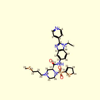 CCn1c(-c2ccncc2)nc2cc(NC(=O)[C@@H]3CN(CCCSC)CCN3S(=O)(=O)C3=CCCS3)ccc21